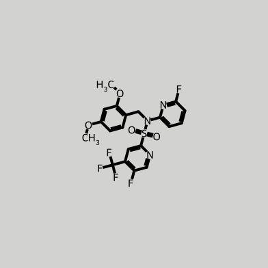 COc1ccc(CN(c2cccc(F)n2)S(=O)(=O)c2cc(C(F)(F)F)c(F)cn2)c(OC)c1